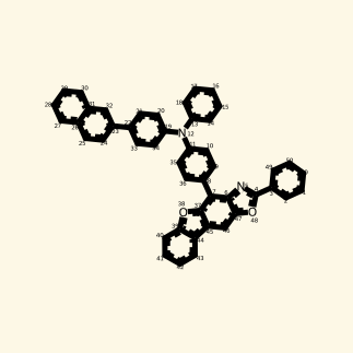 c1ccc(-c2nc3c(-c4ccc(N(c5ccccc5)c5ccc(-c6ccc7ccccc7c6)cc5)cc4)c4oc5ccccc5c4cc3o2)cc1